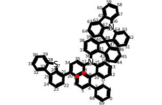 c1ccc(-c2ccccc2-c2ccccc2N(c2ccc(-c3cccc4c3sc3ccccc34)cc2)c2cccc3c2-c2ccccc2C32c3ccccc3-n3c4ccccc4c4cccc2c43)cc1